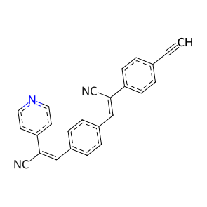 C#Cc1ccc(C(C#N)=Cc2ccc(C=C(C#N)c3ccncc3)cc2)cc1